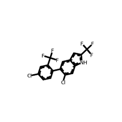 FC(F)(F)c1cc2cc(-c3ccc(Cl)cc3C(F)(F)F)c(Cl)cc2[nH]1